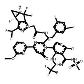 COc1ccnc(-c2cc(=O)n(-c3ccc(Cl)c(C(=N)NS(C)(=O)=O)c3NCC(F)(F)F)c([C@H](Cc3cc(F)cc(F)c3)NC(=O)Cn3nc(C(F)F)c4c3C(F)(F)[C@@H]3C[C@H]43)n2)n1